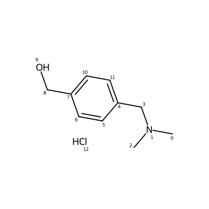 CN(C)Cc1ccc(CO)cc1.Cl